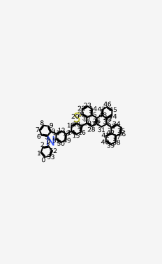 c1ccc(-n2c3ccccc3c3cc(-c4ccc5c(c4)Sc4cccc6c7c(cc-5c46)CC(c4cccc5ccccc45)c4ccccc4-7)ccc32)cc1